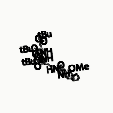 COc1c(C[C@@H](N)C(=O)NCCCC[C@H](NC(=O)N[C@@H](CCC(=O)OC(C)(C)C)C(=O)OC(C)(C)C)C(=O)OC(C)(C)C)ccc2ccccc12